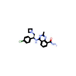 Cc1nc(N[C@H](CN2CCC2)c2ccc(Cl)cc2)c2cccc(C(N)=O)c2n1